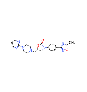 Cc1nc(-c2ccc(N3CC(CN4CCN(c5ncccn5)CC4)OC3=O)cc2)no1